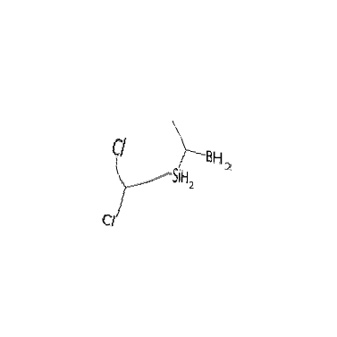 BC(C)[SiH2]C(Cl)Cl